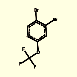 FC(F)(F)Oc1[c]cc(Br)c(Br)c1